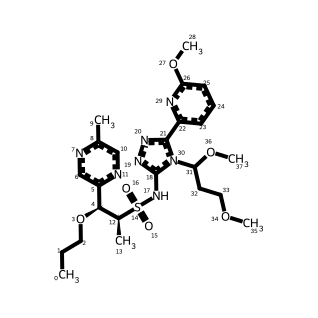 CCCO[C@@H](c1cnc(C)cn1)[C@H](C)S(=O)(=O)Nc1nnc(-c2cccc(OC)n2)n1C(CCOC)OC